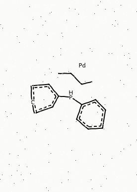 CCCC.[Pd].c1ccc(Pc2ccccc2)cc1